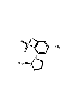 Cc1ccc2c(c1)OS2(=O)=O.O=C(O)[C@@H]1CCCN1